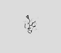 CC1(C2CC=C(Cl)C=C2N)NCCNC(CC2CC2)C1c1ccnc(Cl)c1F